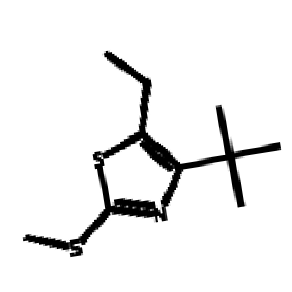 CCc1sc(SC)nc1C(C)(C)C